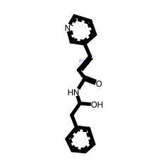 O=C(/C=C/c1cccnc1)NC(O)Cc1ccccc1